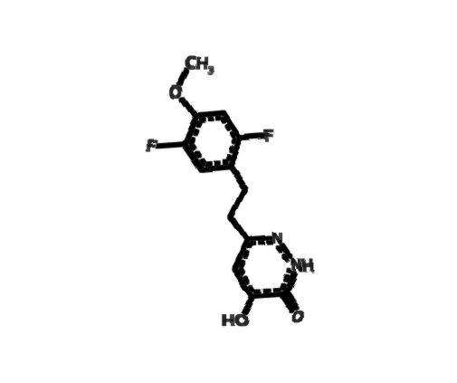 COc1cc(F)c(CCc2cc(O)c(=O)[nH]n2)cc1F